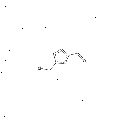 O=Cc1ccc(CCl)s1